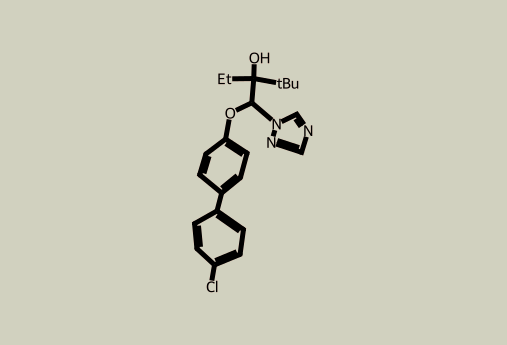 CCC(O)(C(Oc1ccc(-c2ccc(Cl)cc2)cc1)n1cncn1)C(C)(C)C